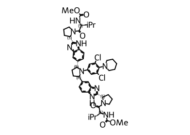 COC(=O)N[C@H](C(=O)N1CCC[C@H]1c1nc2cc([C@H]3CC[C@H](c4ccc5[nH]c([C@@H]6CCCN6C(=O)[C@@H](NC(=O)OC)C(C)C)nc5c4)N3c3cc(Cl)c(N4CCCCC4)c(Cl)c3)ccc2[nH]1)C(C)C